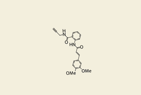 C#CCNC(=O)c1ccccc1NC(=O)C=Cc1ccc(OC)c(OC)c1